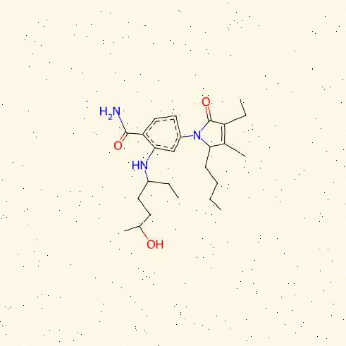 CCCCC1C(C)=C(CC)C(=O)N1c1ccc(C(N)=O)c(NC(CC)CCC(C)O)c1